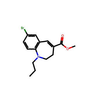 CCCN1CCC(C(=O)OC)=Cc2cc(Br)ccc21